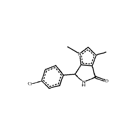 Cc1cn(C)c2c1C(=O)NC2c1ccc(Cl)cc1